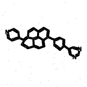 c1cc(-c2ccc3ccc4c(-c5ccc(-c6cncnc6)cc5)ccc5ccc2c3c54)ccn1